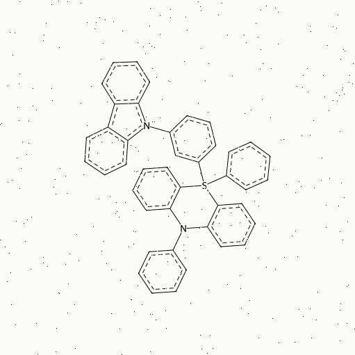 c1ccc(N2c3ccccc3S(c3ccccc3)(c3cccc(-n4c5ccccc5c5ccccc54)c3)c3ccccc32)cc1